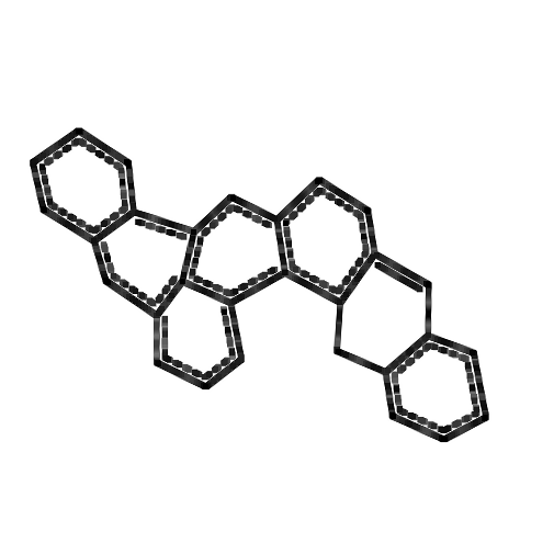 C1=c2ccc3cc4c5ccccc5cc5cccc(c3c2Cc2ccccc21)c54